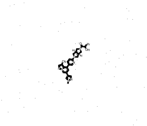 CC(C)C(O)C(=O)N1C[C@@H]2CN(c3ccc(-c4cc(-c5cnn(C)c5)cn5ncc(C#N)c45)cn3)C[C@@H]2C1